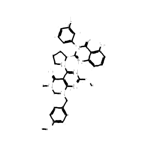 COc1ccc(CN2CN(C)C(=O)c3c2nc(SC)nc3N2CCC[C@H]2c2nc3cccc(Cl)c3c(=O)n2-c2cccc(F)c2)cc1